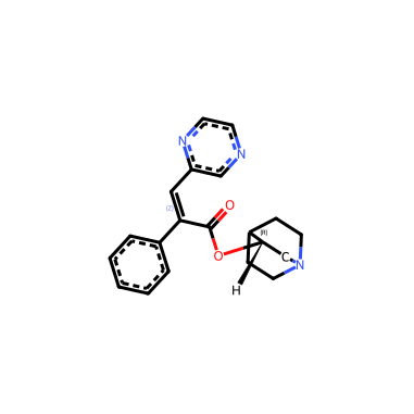 O=C(O[C@H]1CN2CCC1CC2)/C(=C\c1cnccn1)c1ccccc1